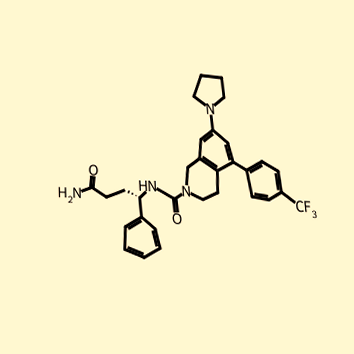 NC(=O)CC[C@H](NC(=O)N1CCc2c(cc(N3CCCC3)cc2-c2ccc(C(F)(F)F)cc2)C1)c1ccccc1